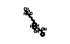 CCCNC(=O)CCC/C=C1\C[C@H]2C[C@@H](O)[C@H](/C=C/[C@@H](O)C3CCCC3)[C@H]2C1